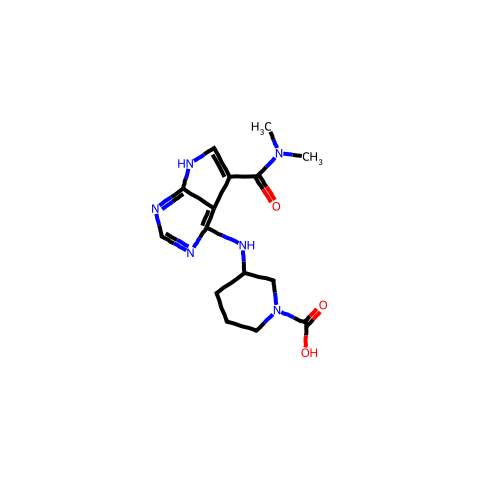 CN(C)C(=O)c1c[nH]c2ncnc(NC3CCCN(C(=O)O)C3)c12